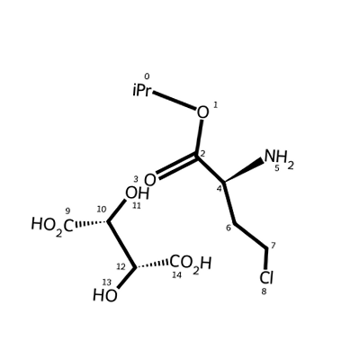 CC(C)OC(=O)[C@@H](N)CCCl.O=C(O)[C@H](O)[C@@H](O)C(=O)O